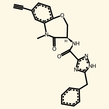 C#Cc1ccc2c(c1)N(C)C(=O)[C@H](NC(=O)c1n[nH]c(Cc3ccccc3)n1)CO2